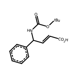 CC(C)(C)OC(=O)NC(C=CC(=O)O)c1ccccc1